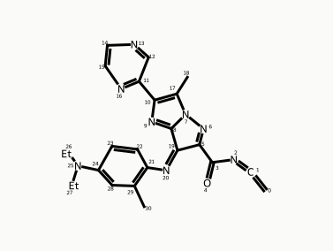 C=C=NC(=O)C1=Nn2c(nc(-c3cnccn3)c2C)/C1=N\c1ccc(N(CC)CC)cc1C